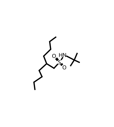 CCCCC(CCCC)CS(=O)(=O)NC(C)(C)C